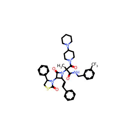 CC(C(=O)NCc1cccc(C(F)(F)F)c1)(C(=O)N1CCC(N2CCCCC2)CC1)N1C(=O)C(N2C(=O)SCC2c2ccccc2)C1/C=C/c1ccccc1